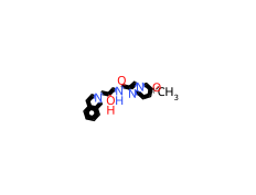 CO[C@@H]1CCc2nc(C(=O)NCC(O)CN3CCc4ccccc4C3)cn2C1